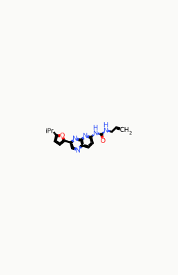 C=CCNC(=O)Nc1ccc2ncc(-c3ccc(C(C)C)o3)nc2n1